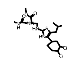 CNC(=O)NC(CNC1NC(C2CCC(Cl)C(Cl)C2)=C(CC(C)C)S1)C(=O)OC